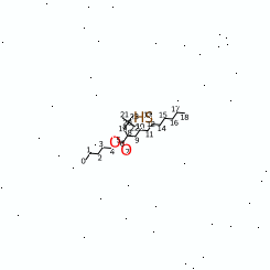 CCCCCOC(=O)C(CCCC(S)CCCCC)CC(C)(C)C